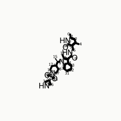 Cc1cc(C)c(CNC(=O)c2c(C)n([C@H](C)C3CCN(S(=O)(=O)C4CNC4)CC3)c3ccccc23)c(=O)[nH]1